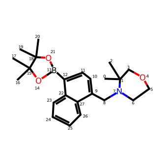 CC1(C)COCCN1Cc1ccc(B2OC(C)(C)C(C)(C)O2)c2ccccc12